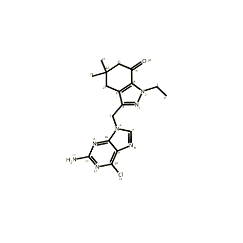 CCn1nc(Cn2cnc3c(Cl)nc(N)nc32)c2c1C(=O)CC(C)(C)C2